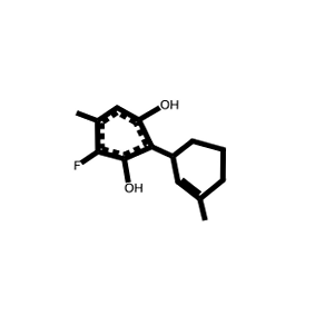 CC1=CC(c2c(O)cc(C)c(F)c2O)CCC1